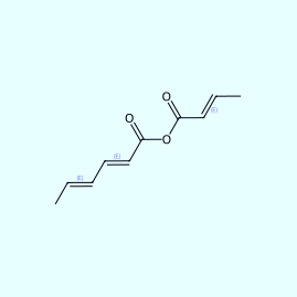 C/C=C/C=C/C(=O)OC(=O)/C=C/C